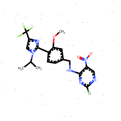 COc1cc(CNc2nc(Cl)ncc2[N+](=O)[O-])ccc1-c1nc(C(F)(F)F)cn1C(C)C